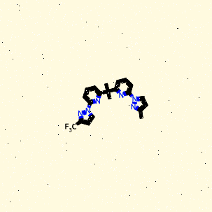 Cc1ccn(-c2cccc(C(C)(C)c3cccc(-n4ccc(C(F)(F)F)n4)n3)n2)n1